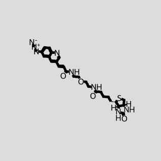 [N-]=[N+]=Nc1ccc2ncc(/C=C/C(=O)NCCOCCNC(=O)CCCC[C@@H]3SC[C@@H]4NC(=O)N[C@@H]43)cc2c1